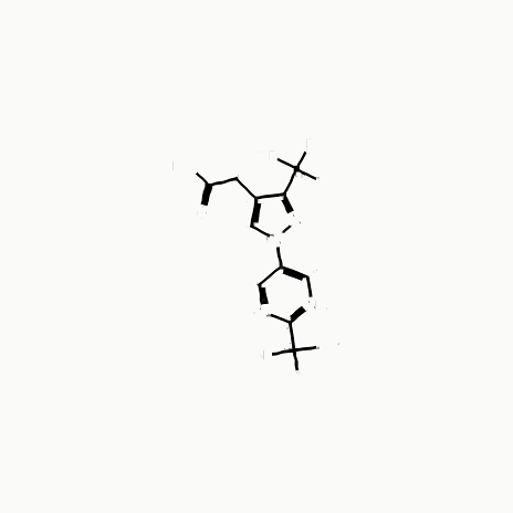 O=C(O)Cc1cn(-c2cnc(C(F)(F)F)nc2)nc1C(F)(F)F